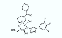 O=C(c1ccccc1)N1CCC[C@]2(C1)O[C@H](CO)[C@H](O)[C@H](n1cc(-c3cc(F)c(F)c(F)c3)nn1)[C@H]2O